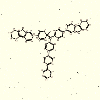 CC1(N(c2ccc(-c3ccc(-c4ccccc4)cc3)cc2)c2ccc(-c3ccc4c5c(oc4c3)C=CCC5)cc2)C=CC(c2ccc3c(c2)CC2=C3CCCC2)=CC1